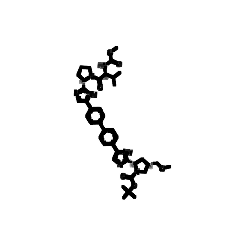 COC[C@H]1C[C@@H](c2ncc(-c3ccc(-c4ccc(-c5cnc([C@@H]6CCCN6C(=O)[C@@H](NC(=O)OC)C(C)C)[nH]5)cc4)cc3)[nH]2)N(C(=O)OC(C)(C)C)C1